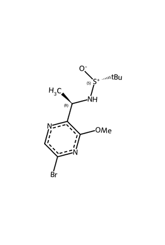 COc1nc(Br)cnc1[C@@H](C)N[S@+]([O-])C(C)(C)C